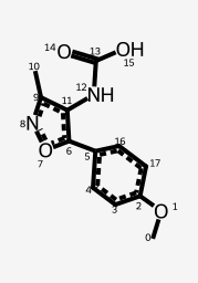 COc1ccc(-c2onc(C)c2NC(=O)O)cc1